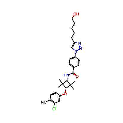 CC1(C)[C@H](NC(=O)c2ccc(-n3cc(CCCCCO)nn3)cc2)C(C)(C)[C@H]1Oc1ccc(C#N)c(Cl)c1